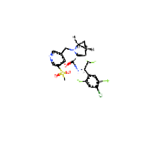 CS(=O)(=O)c1cncc(CN2[C@@H](C(=O)N[C@@H](c3cc(F)c(Cl)cc3F)C(F)F)C[C@H]3C[C@H]32)c1